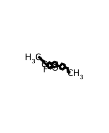 CCCCOc1cc2c(cc1F)OC(C1CCC(CCC)CC1)CC2